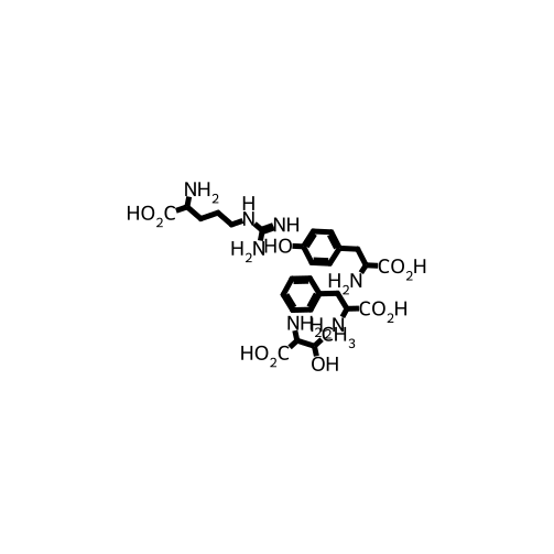 CC(O)C(N)C(=O)O.N=C(N)NCCCC(N)C(=O)O.NC(Cc1ccc(O)cc1)C(=O)O.NC(Cc1ccccc1)C(=O)O